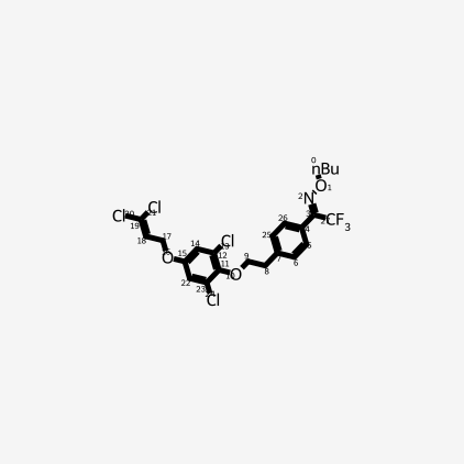 CCCCON=C(c1ccc(CCOc2c(Cl)cc(OCC=C(Cl)Cl)cc2Cl)cc1)C(F)(F)F